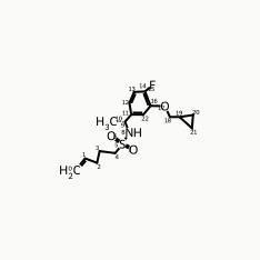 C=CCCCS(=O)(=O)N[C@H](C)c1ccc(F)c(OCC2CC2)c1